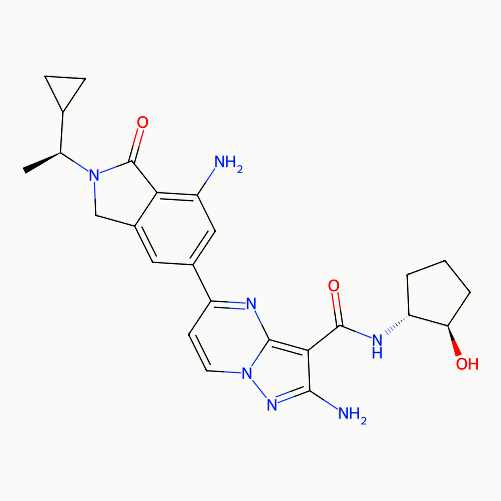 C[C@@H](C1CC1)N1Cc2cc(-c3ccn4nc(N)c(C(=O)N[C@@H]5CCC[C@H]5O)c4n3)cc(N)c2C1=O